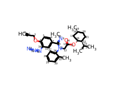 C#CCOc1ccc(/C(=N\C)N(CC(=O)O[C@@H]2C[C@H](C)CC[C@H]2C(C)C)c2ccccc2C)cc1N=[N+]=[N-]